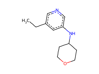 CCc1cncc(NC2CCOCC2)c1